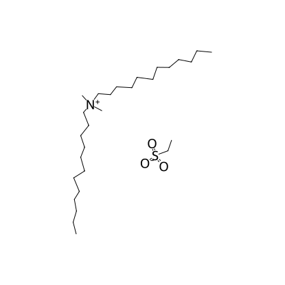 CCCCCCCCCCCC[N+](C)(C)CCCCCCCCCCCC.CCS(=O)(=O)[O-]